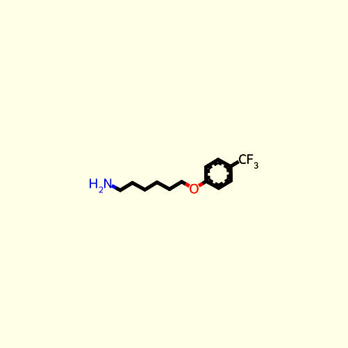 NCCCCCCOc1ccc(C(F)(F)F)cc1